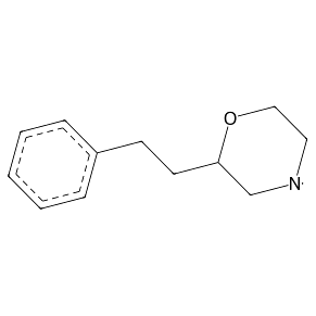 c1ccc(CCC2C[N]CCO2)cc1